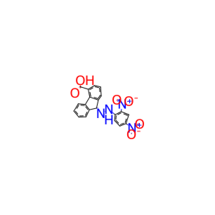 O=C(O)c1cccc2c1-c1ccccc1/C2=N/Nc1ccc([N+](=O)[O-])cc1[N+](=O)[O-]